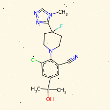 Cn1cnnc1C1(F)CCN(c2c(Cl)cc(C(C)(C)O)cc2C#N)CC1